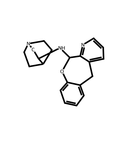 c1ccc2c(c1)Cc1cccnc1C(NC1CN3CCC1CC3)O2